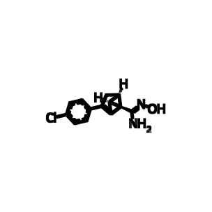 N/C(=N\O)[C@]12C3=C(c4ccc(Cl)cc4)C[C@@H]1[C@H]32